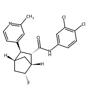 Cc1cc([C@@H]2[C@@H]3C[C@H]([C@H]2C(=O)Nc2ccc(Cl)c(Cl)c2)[C@H](F)C3)ccn1